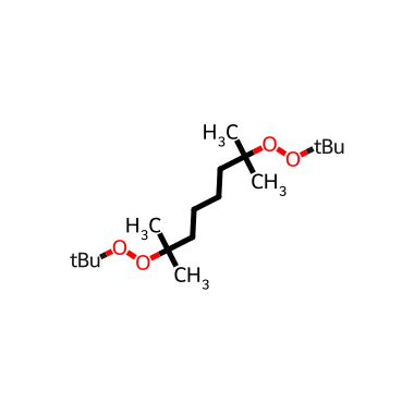 CC(C)(C)OOC(C)(C)CCCCC(C)(C)OOC(C)(C)C